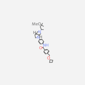 COC(C)(C)CC(C)N1C[C@H]2CCN(c3ccc(NC(=O)c4ccc(COC5CCC5)cc4)cc3)[C@H]2C1